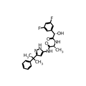 C[C@H](NC(=O)[C@@H](O)c1cc(F)cc(F)c1)C(=O)Nc1cc(C(C)(C)c2ccccc2)n[nH]1